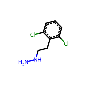 NNCCc1c(Cl)cccc1Cl